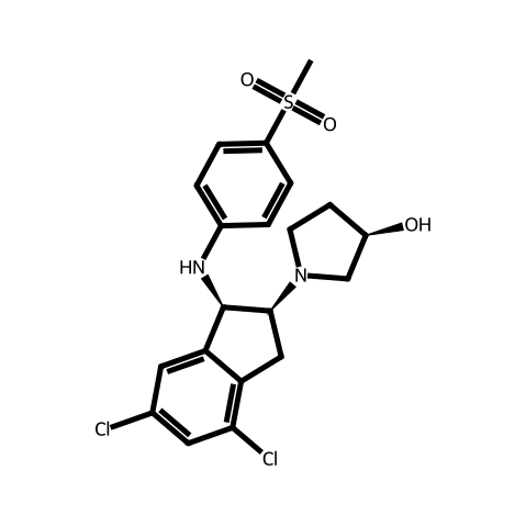 CS(=O)(=O)c1ccc(N[C@@H]2c3cc(Cl)cc(Cl)c3C[C@@H]2N2CC[C@@H](O)C2)cc1